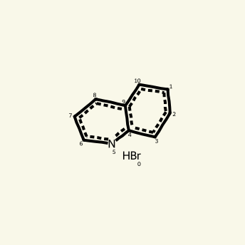 Br.c1ccc2ncccc2c1